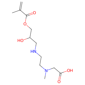 C=C(C)C(=O)OCC(O)CNCCN(C)CC(=O)O